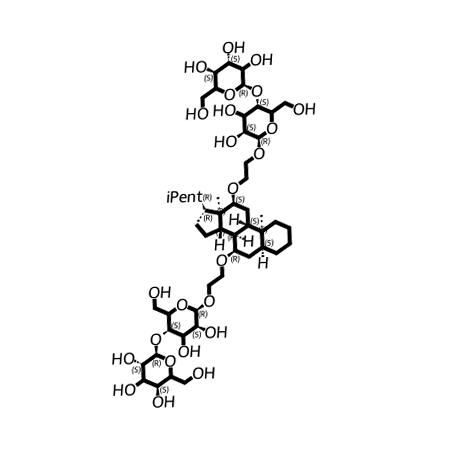 CCC[C@@H](C)[C@H]1CC[C@H]2[C@@H]3[C@H](OCCO[C@@H]4OC(CO)[C@@H](O[C@H]5OC(CO)[C@@H](O)C(O)[C@@H]5O)C(O)[C@@H]4O)C[C@@H]4CCCC[C@]4(C)[C@H]3C[C@H](OCCO[C@@H]3OC(CO)[C@@H](O[C@H]4OC(CO)[C@@H](O)[C@H](O)C4O)C(O)[C@@H]3O)[C@]12C